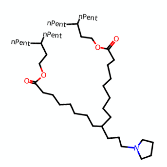 CCCCCC(CCCCC)CCOC(=O)CCCCCCCC(CCCCCCCC(=O)OCCC(CCCCC)CCCCC)CCCN1CCCC1